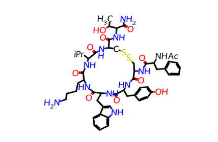 CC(=O)NC(Cc1ccccc1)C(=O)NC1CSSCC(C(=O)NC(C(N)=O)C(C)O)NC(=O)C(C(C)C)NC(=O)C(CCCCN)NC(=O)C(Cc2c[nH]c3ccccc23)NC(=O)C(Cc2ccc(O)cc2)NC1=O